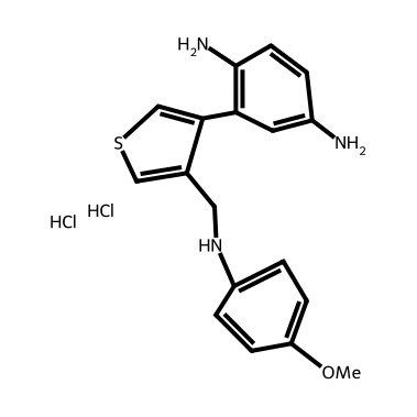 COc1ccc(NCc2cscc2-c2cc(N)ccc2N)cc1.Cl.Cl